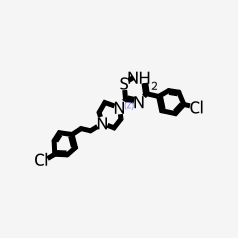 C=C(/N=C(\SN)N1CCN(CCc2ccc(Cl)cc2)CC1)c1ccc(Cl)cc1